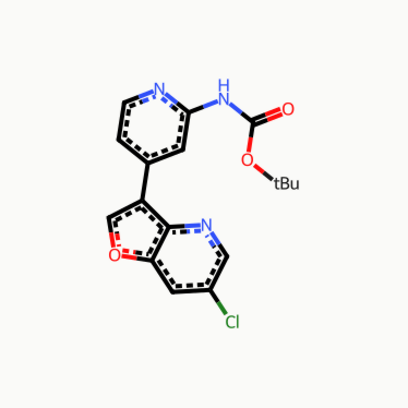 CC(C)(C)OC(=O)Nc1cc(-c2coc3cc(Cl)cnc23)ccn1